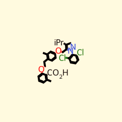 Cc1cc(OCc2c(C(C)C)cnn2-c2c(Cl)cccc2Cl)ccc1CCOc1cccc(C)c1C(=O)O